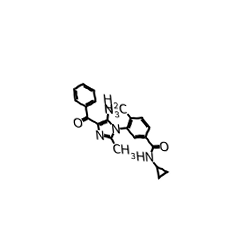 Cc1ccc(C(=O)NC2CC2)cc1-n1c(C)nc(C(=O)c2ccccc2)c1N